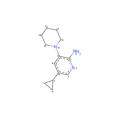 Nc1ncc(C2CC2)cc1N1CCCCC1